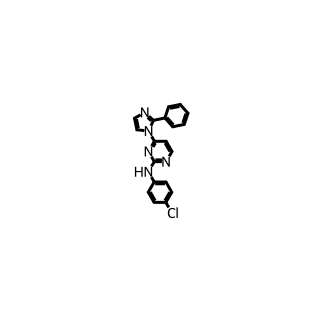 Clc1ccc(Nc2nccc(-n3ccnc3-c3ccccc3)n2)cc1